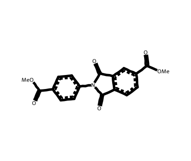 COC(=O)c1ccc(N2C(=O)c3ccc(C(=O)OC)cc3C2=O)cc1